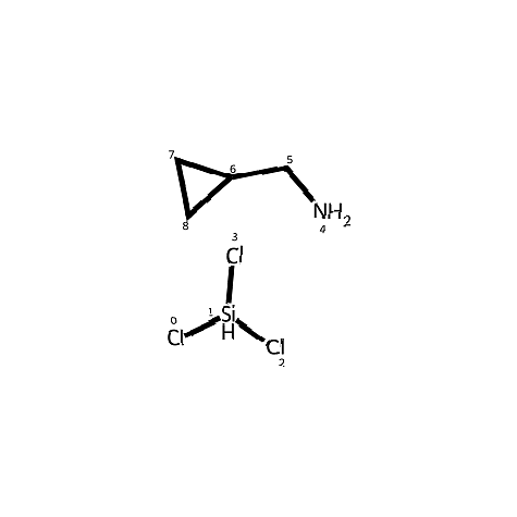 Cl[SiH](Cl)Cl.NCC1CC1